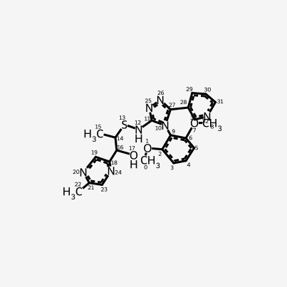 COc1cccc(OC)c1-n1c(NSC(C)C(O)c2cnc(C)cn2)nnc1-c1cccnc1